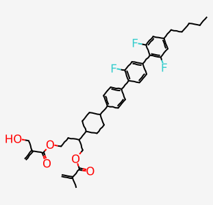 C=C(C)C(=O)OCC(CCOC(=O)C(=C)CO)C1CCC(c2ccc(-c3ccc(-c4c(F)cc(CCCCC)cc4F)cc3F)cc2)CC1